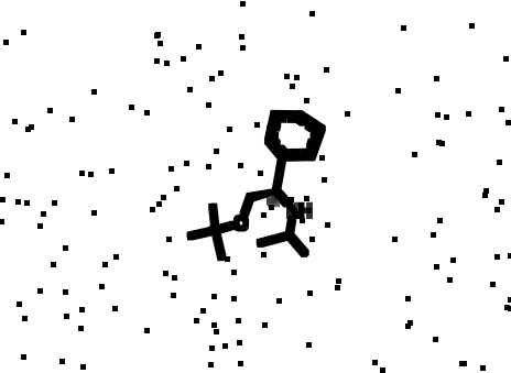 CC(C)N[C@@H](COC(C)(C)C)c1ccccc1